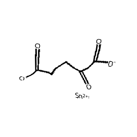 O=C([O-])CCC(=O)C(=O)[O-].[Sn+2]